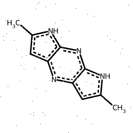 Cc1cc2nc3cc(C)[nH]c3nc2[nH]1